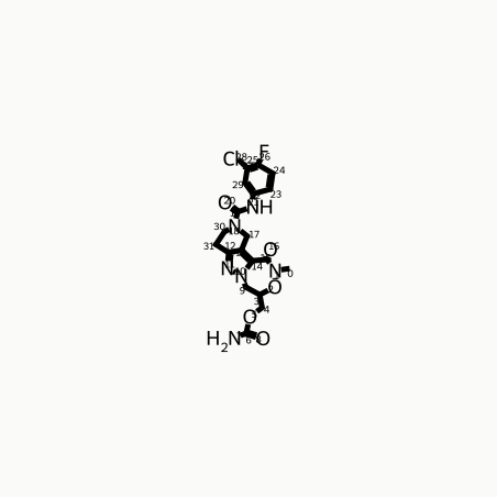 CN1OC(COC(N)=O)Cn2nc3c(c2C1=O)CN(C(=O)Nc1ccc(F)c(Cl)c1)CC3